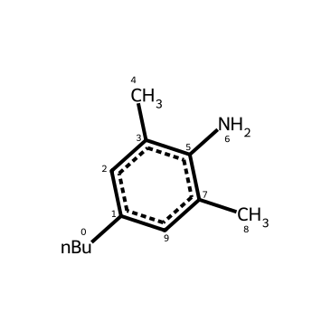 [CH2]CCCc1cc(C)c(N)c(C)c1